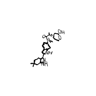 CC(C(=O)N(C)c1ccc2cc(-c3n[nH]c4c3CCC(C)(C)C4)[nH]c2c1)N1CCOC(O)C1